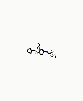 CCOC(=O)/C=C/c1ccc(OCc2ccccc2)c(OCC)c1